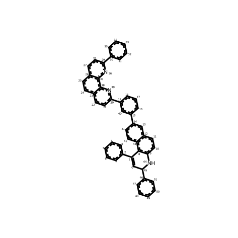 C1=C(c2ccccc2)c2c(ccc3cc(-c4cccc(-c5ccc6ccc7ccc(-c8ccccc8)nc7c6n5)c4)ccc23)NC1c1ccccc1